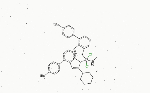 CC1=Cc2c(-c3ccc(C(C)(C)C)cc3)cccc2[CH]1[Zr]([Cl])([Cl])([CH]1C(C2CCCCC2)=Cc2c(-c3ccc(C(C)(C)C)cc3)cccc21)[SiH](C)C